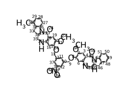 COc1cc2c(cc1OCc1cc(COc3cc4c(cc3OC)C(=O)N3c5cccc(C)c5CC3CN4)cc([N+](=O)[O-])c1)N=C[C@@H]1Cc3ccccc3N1C2=O